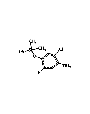 CC(C)(C)[Si](C)(C)Oc1cc(Cl)c(N)cc1F